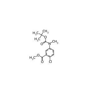 COC(=O)c1cc(N(C)C(=O)OC(C)(C)C)ccc1Cl